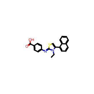 CCn1c(-c2cccc3ccccc23)csc1=Nc1ccc(C(=O)O)cc1